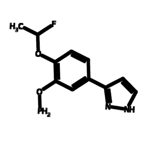 CC(F)Oc1ccc(-c2cc[nH]n2)cc1OP